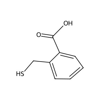 O=C(O)c1ccccc1CS